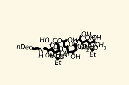 CCCCCCCCCCCCNCC(O)C1OC(OC(CO)C(O)C2OC(OC(CO)C(O)C(O)C(NC(=O)CC)C(C)O)(C(=O)O)CC(O)C2N)(C(=O)O)CC(O)C1NC(=O)CC